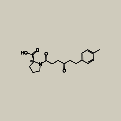 Cc1ccc(CCC(=O)CCC(=O)N2CCC[C@H]2C(=O)O)cc1